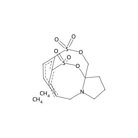 C.C.O=S1(=O)OCC23CCCN2Cc2ccc1c(c2)S(=O)(=O)O3